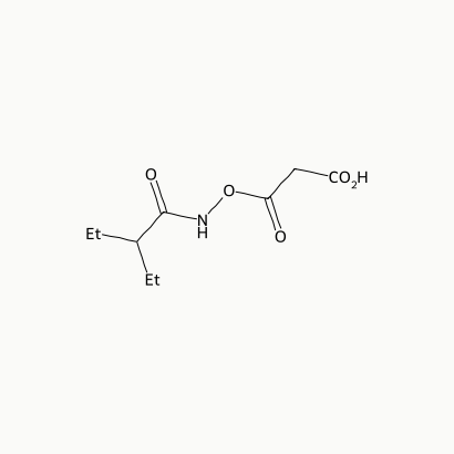 CCC(CC)C(=O)NOC(=O)CC(=O)O